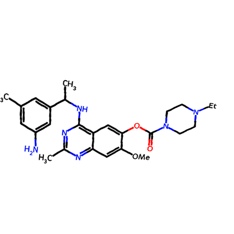 CCN1CCN(C(=O)Oc2cc3c(NC(C)c4cc(C)cc(N)c4)nc(C)nc3cc2OC)CC1